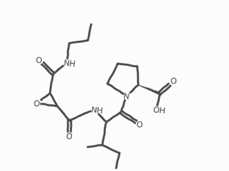 CCCNC(=O)C1OC1C(=O)NC(C(=O)N1CCC[C@H]1C(=O)O)C(C)CC